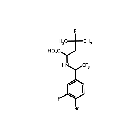 CC(C)(F)CC(NC(c1ccc(Br)c(F)c1)C(F)(F)F)C(=O)O